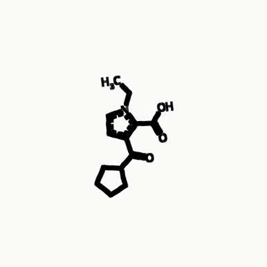 CCn1ccc(C(=O)C2CCCC2)c1C(=O)O